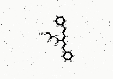 C=CC(=O)OC(=O)C(C=Cc1ccccc1)=CC=Cc1ccccc1